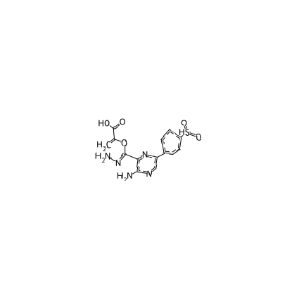 C=C(O/C(=N\N)c1nc(-c2ccc([SH](=O)=O)cc2)cnc1N)C(=O)O